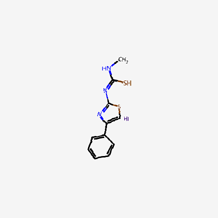 CN/C(S)=N/c1nc(-c2ccccc2)cs1.I